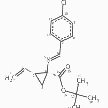 C=C[C@H]1C[C@@]1(/N=C/c1ccc(Cl)cc1)C(=O)OC(C)(C)C